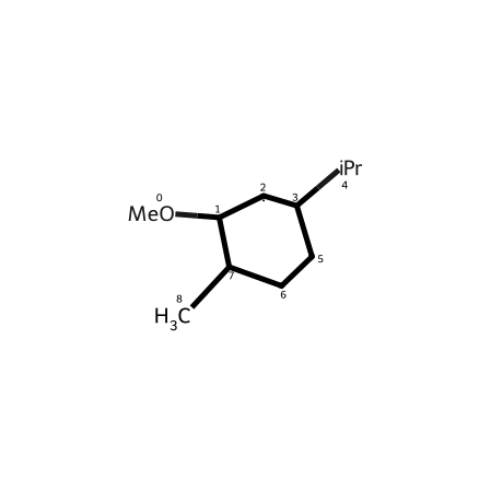 COC1[CH]C(C(C)C)CCC1C